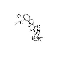 CCOc1c(Cl)ccc2cc(C(=O)N[C@H]3C4CCN(CC4)C3(C)C)sc12